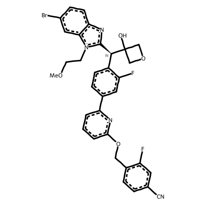 COCCn1c([C@H](c2ccc(-c3cccc(OCc4ccc(C#N)cc4F)n3)cc2F)C2(O)COC2)nc2ccc(Br)cc21